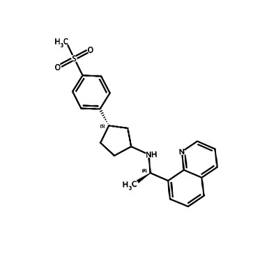 C[C@@H](NC1CC[C@H](c2ccc(S(C)(=O)=O)cc2)C1)c1cccc2cccnc12